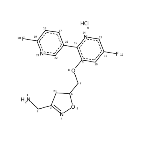 Cl.NCC1=NOC(COc2cc(F)cnc2-c2ccc(F)nc2)C1